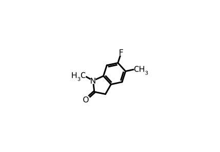 Cc1cc2c(cc1F)N(C)C(=O)C2